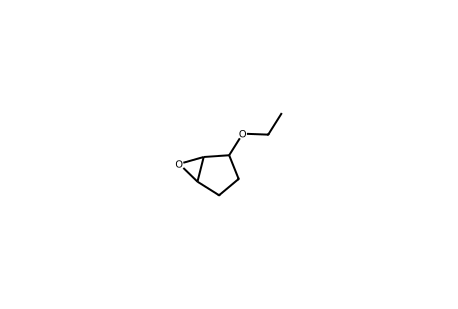 CCOC1CCC2OC12